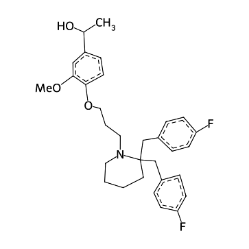 COc1cc(C(C)O)ccc1OCCCN1CCCCC1(Cc1ccc(F)cc1)Cc1ccc(F)cc1